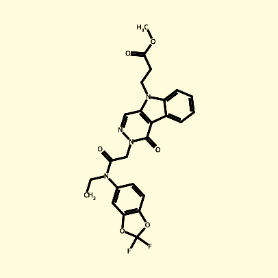 CCN(C(=O)Cn1ncc2c(c1=O)c1ccccc1n2CCC(=O)OC)c1ccc2c(c1)OC(F)(F)O2